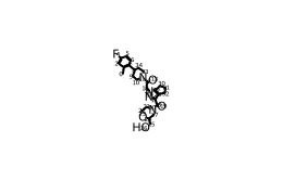 Cc1cc(F)ccc1C1CCN(C(=O)Cn2nc(C(=O)N3CCOC(CO)C3)c3c2CCC3)CC1